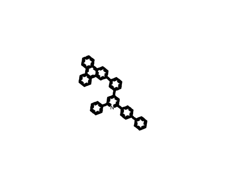 c1ccc(-c2ccc(-c3cc(-c4cccc(-c5ccc6c7ccccc7c7ccccc7c6c5)c4)cc(-c4ccccc4)n3)cc2)cc1